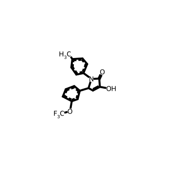 Cc1ccc(N2C(=O)C(O)=CC2c2cccc(OC(F)(F)F)c2)cc1